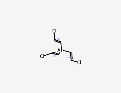 Cl/C=C/[As](/C=C/Cl)/C=C/Cl